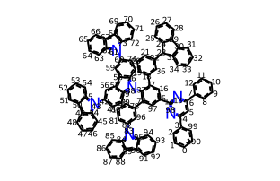 c1ccc(-c2cc(-c3ccccc3)nc(-c3cc(-c4cccc(C5c6ccccc6-c6ccccc65)c4)c(-n4c5ccc(-n6c7ccccc7c7ccccc76)cc5c5cc(-n6c7ccccc7c7ccccc76)ccc54)c(-c4cccc(-n5c6ccccc6c6ccccc65)c4)c3)n2)cc1